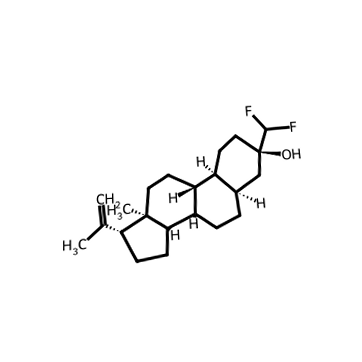 C=C(C)[C@H]1CC[C@H]2[C@@H]3CC[C@@H]4C[C@@](O)(C(F)F)CC[C@@H]4[C@H]3CC[C@]12C